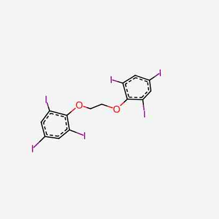 Ic1cc(I)c(OCCOc2c(I)cc(I)cc2I)c(I)c1